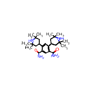 CC1(C)CC(c2cc(C3CC(C)(C)NC(C)(C)C3)c(C(N)=O)cc2C(N)=O)CC(C)(C)N1